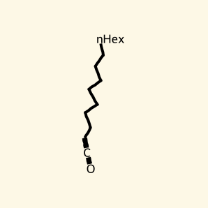 CCCCCCCCCCCCCC=C=O